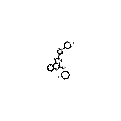 c1ccc2c(c1)nc(N[C@@H]1CCCCNC1)n1nc(-c3cnn(C4CCNCC4)c3)nc21